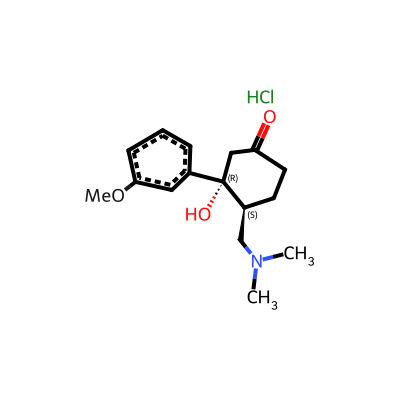 COc1cccc([C@@]2(O)CC(=O)CC[C@H]2CN(C)C)c1.Cl